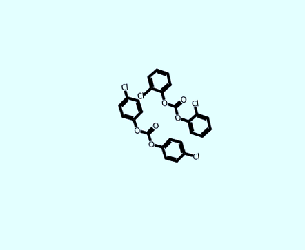 O=C(Oc1ccc(Cl)cc1)Oc1ccc(Cl)cc1.O=C(Oc1ccccc1Cl)Oc1ccccc1Cl